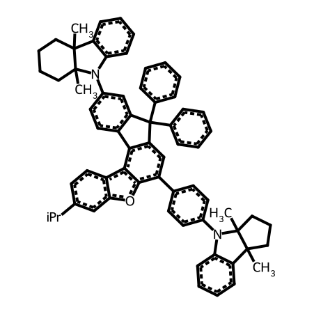 CC(C)c1ccc2c(c1)oc1c(-c3ccc(N4c5ccccc5C5(C)CCCC45C)cc3)cc3c(c12)-c1ccc(N2c4ccccc4C4(C)CCCCC24C)cc1C3(c1ccccc1)c1ccccc1